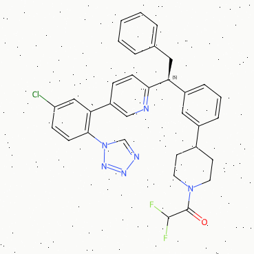 O=C(C(F)F)N1CCC(c2cccc([C@H](Cc3ccccc3)c3ccc(-c4cc(Cl)ccc4-n4cnnn4)cn3)c2)CC1